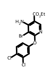 CCOC(=O)c1cnc(Oc2ccc(Cl)c(Cl)c2)c(Br)c1N